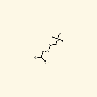 CCC(N)[P-]OCC[N+](C)(C)C